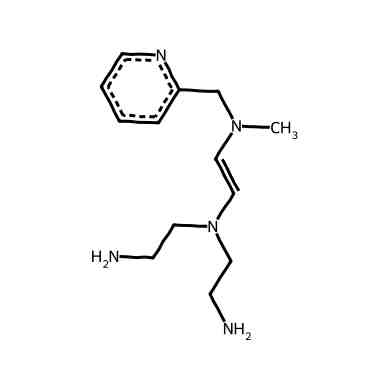 CN(C=CN(CCN)CCN)Cc1ccccn1